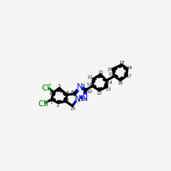 Clc1cc2c(cc1Cl)-c1nc(-c3ccc(-c4ccccc4)cc3)nn1C2